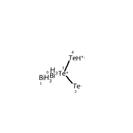 [BiH3].[BiH3].[Te][Te+][TeH+]